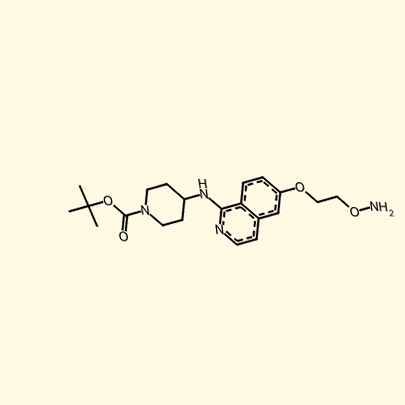 CC(C)(C)OC(=O)N1CCC(Nc2nccc3cc(OCCON)ccc23)CC1